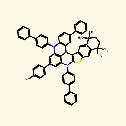 CC1(C)CCC(C)(C)c2cc3c4c(sc3cc21)N(c1ccc(-c2ccccc2)cc1)c1cc(-c2ccc(C#N)cc2)cc2c1B4c1cc(-c3ccccc3)ccc1N2c1ccc(-c2ccccc2)cc1